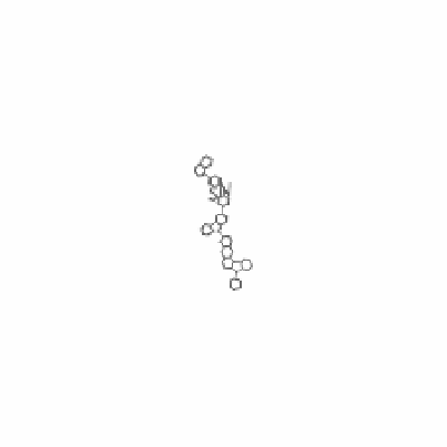 CN1c2ccc(-c3ccc4c(c3)-c3ccccc3C4c3ccc4cc5c6c(ccc5cc4c3)C(c3ccccc3)c3ccccc3-6)cc2Sc2cc(-c3cccc4ccccc34)ccc21